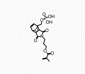 C=C(C)C(=O)OCCCN1C(=O)C2C3C=CC(COP(=O)(O)O)(O3)C2C1=O